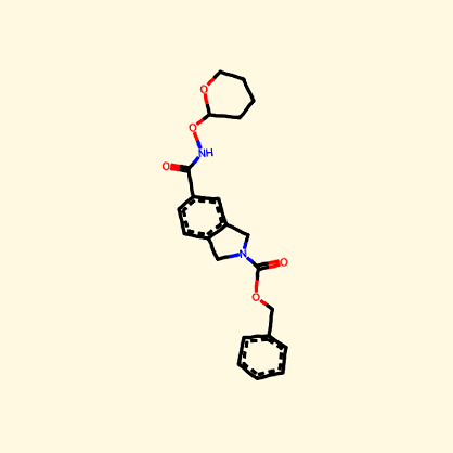 O=C(NOC1CCCCO1)c1ccc2c(c1)CN(C(=O)OCc1ccccc1)C2